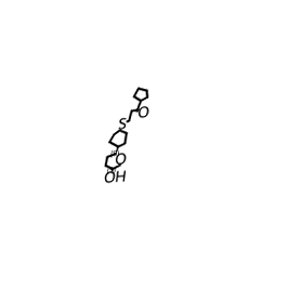 O=C(CCSC1CCC([C@@H]2CC[C@H](O)CO2)CC1)C1CCCC1